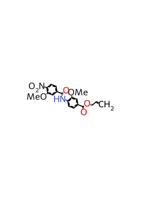 C=CCOC(=O)c1ccc(NC(=O)c2ccc([N+](=O)[O-])c(OC)c2)c(OC)c1